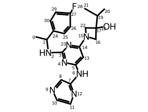 CC(Nc1nc(Nc2cnccn2)cc(N2CC(O)(C(C)C)C2)n1)c1ccc(F)cc1